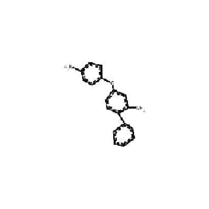 Nc1ccc(Oc2ccc(-c3ccccc3)c(N)c2)cc1